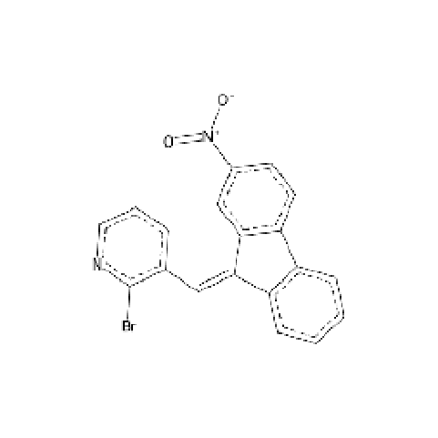 O=[N+]([O-])c1ccc2c(c1)C(=Cc1cccnc1Br)c1ccccc1-2